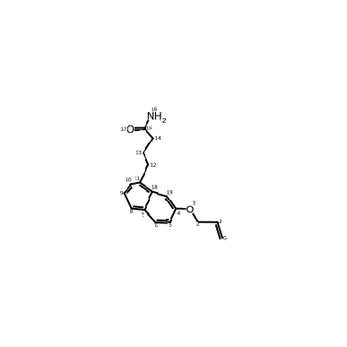 C=CCOc1ccc2cccc(CCCC(N)=O)c2c1